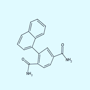 NC(=O)c1ccc(C(N)=O)c(-c2cccc3ccccc23)c1